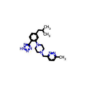 Cc1ccc(CN2CCN(c3cc(CC(C)C)ccc3-c3nn[nH]n3)CC2)nn1